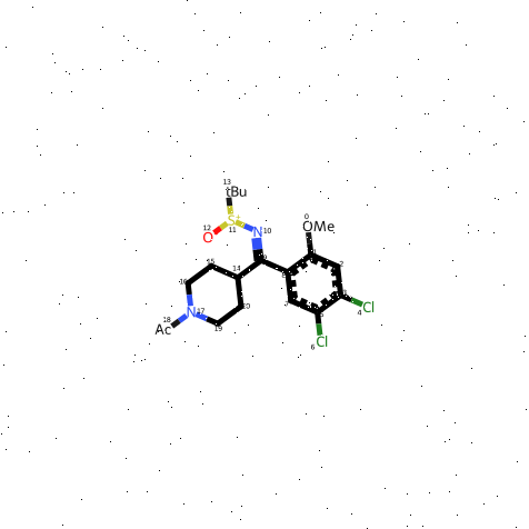 COc1cc(Cl)c(Cl)cc1C(=N[S+]([O-])C(C)(C)C)C1CCN(C(C)=O)CC1